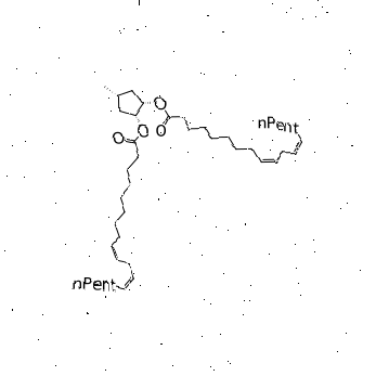 CCCCC/C=C\C/C=C\CCCCCCCC(=O)O[C@H]1C[C@@H](C)C[C@H]1OC(=O)CCCCCCC/C=C\C/C=C\CCCCC